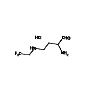 Cl.NC(C=O)CCNCC(F)(F)F